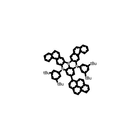 CC(C)(C)c1cc(N2c3cc4c(ccc5ccccc54)cc3B3c4cc5ccc6ccccc6c5cc4N(c4cc(C(C)(C)C)cc(C(C)(C)C)c4)c4cc(-c5ccc6ccc7cccc8ccc5c6c78)cc2c43)cc(C(C)(C)C)c1